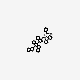 NC(NC(/N=C/c1ccc(-c2c3ccccc3c(-c3ccc4ccccc4c3)c3c2ccc2ccccc23)c2ccccc12)c1ccccc1-c1ccccc1)c1ccccc1